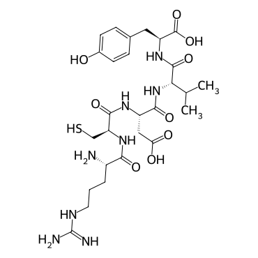 CC(C)[C@H](NC(=O)[C@H](CC(=O)O)NC(=O)[C@H](CS)NC(=O)[C@@H](N)CCCNC(=N)N)C(=O)N[C@@H](Cc1ccc(O)cc1)C(=O)O